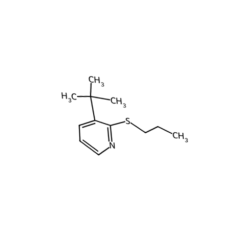 CCCSc1ncccc1C(C)(C)C